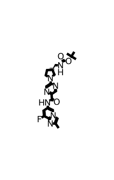 Cc1cn2cc(NC(=O)c3cnc(N4CC[C@@H](CNC(=O)OC(C)(C)C)C4)cn3)cc(F)c2n1